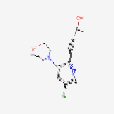 CC(C)(O)C#Cc1ncc(Br)cc1N1CCOCC1